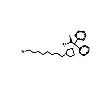 NC(=O)C(c1ccccc1)(c1ccccc1)[C@@H]1CCN(CCCCCCCCBr)C1